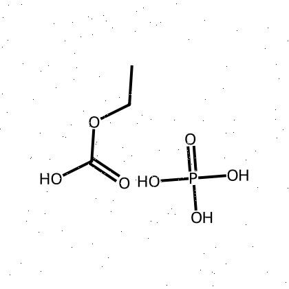 CCOC(=O)O.O=P(O)(O)O